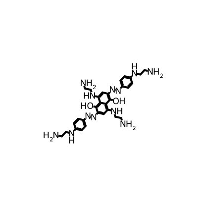 NCCNc1ccc(N=Nc2cc(NCCN)c3c(O)c(N=Nc4ccc(NCCN)cc4)cc(NCCN)c3c2O)cc1